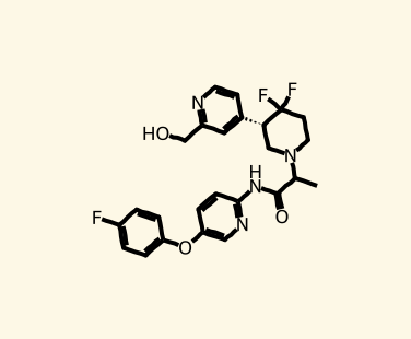 CC(C(=O)Nc1ccc(Oc2ccc(F)cc2)cn1)N1CCC(F)(F)[C@@H](c2ccnc(CO)c2)C1